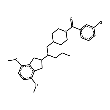 CCCN(CC1CCN(C(=O)c2cccc(Cl)c2)CC1)C1Cc2c(OC)ccc(OC)c2C1